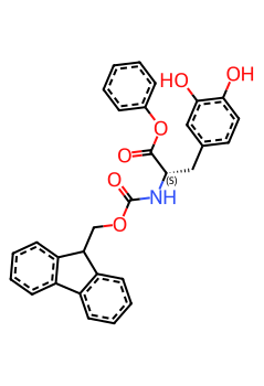 O=C(N[C@@H](Cc1ccc(O)c(O)c1)C(=O)Oc1ccccc1)OCC1c2ccccc2-c2ccccc21